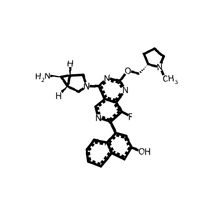 CN1CCC[C@H]1COc1nc(N2C[C@@H]3[C@@H](N)[C@@H]3C2)c2cnc(-c3cc(O)cc4ccccc34)c(F)c2n1